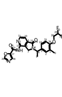 Cc1cc(C(C)N2Cc3c(ccnc3NC(=O)c3cnco3)C2=O)ccc1OCC(F)F